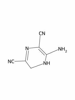 N#CC1=NC(C#N)=C(N)NC1